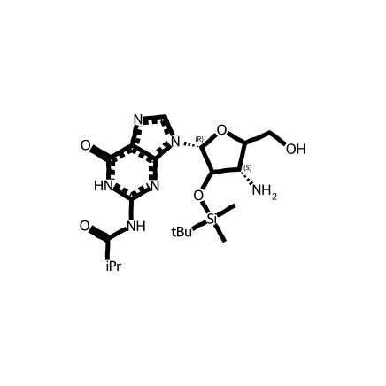 CC(C)C(=O)Nc1nc2c(ncn2[C@@H]2OC(CO)[C@H](N)C2O[Si](C)(C)C(C)(C)C)c(=O)[nH]1